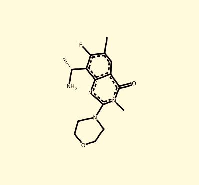 Cc1cc2c(=O)n(C)c(N3CCOCC3)nc2c([C@@H](C)N)c1F